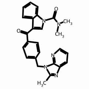 Cc1nc2cccnc2n1Cc1ccc(C(=O)c2cn(C(=O)N(C)C)c3ccccc23)cc1